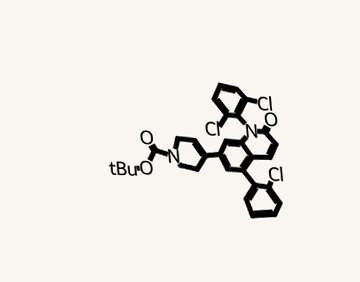 CC(C)(C)OC(=O)N1CC=C(c2cc(-c3ccccc3Cl)c3ccc(=O)n(-c4c(Cl)cccc4Cl)c3c2)CC1